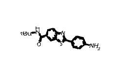 CC(C)(C)NC(=O)c1ccc2nc(-c3ccc(N)cc3)sc2c1